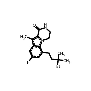 CCC(C)(C)CCc1cc(F)cc2c(C)c3n(c12)CCNC3=O